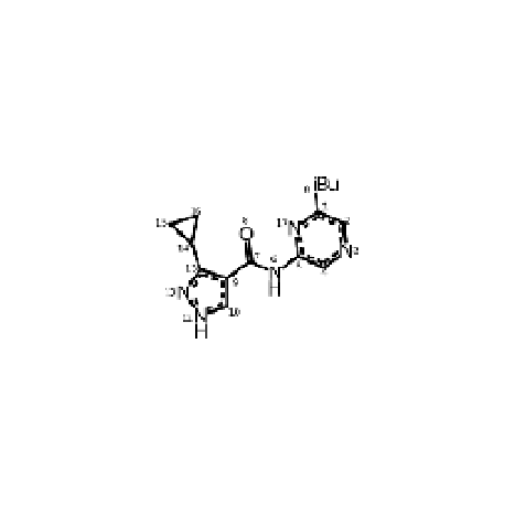 CCC(C)c1cncc(NC(=O)c2c[nH]nc2C2CC2)n1